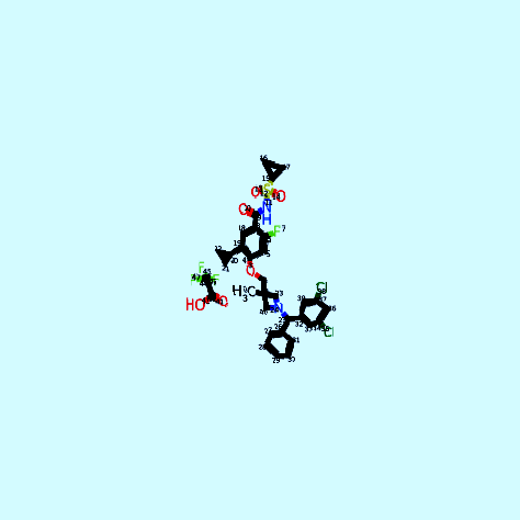 CC1(COc2cc(F)c(C(=O)NS(=O)(=O)C3CC3)cc2C2CC2)CN(C(c2ccccc2)c2cc(Cl)cc(Cl)c2)C1.O=C(O)C(F)(F)F